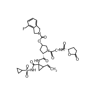 C=CC1C[C@]1(NC(=O)[C@@H]1CC(OC(=O)N2Cc3cccc(F)c3C2)CN1C(=O)CNC(=O)[C@@H]1CCC(=O)O1)C(=O)NS(=O)(=O)C1CC1